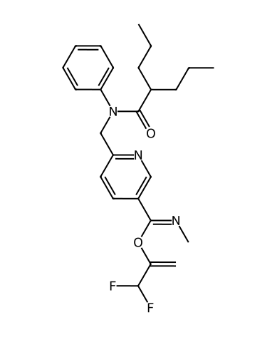 C=C(O/C(=N\C)c1ccc(CN(C(=O)C(CCC)CCC)c2ccccc2)nc1)C(F)F